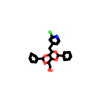 OCC1OC(c2ccccc2)OC2C(Cc3ccnc(Cl)c3)OC(c3ccccc3)OC12